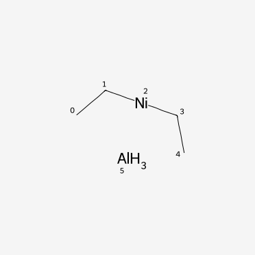 C[CH2][Ni][CH2]C.[AlH3]